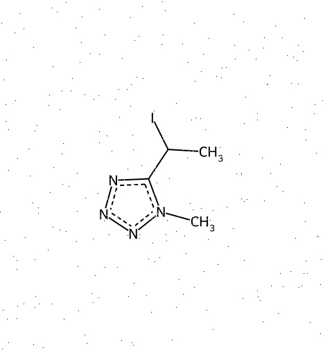 CC(I)c1nnnn1C